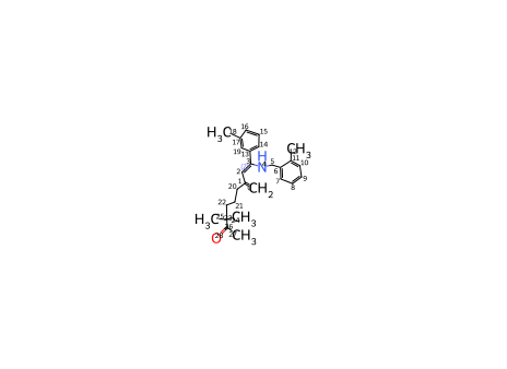 C=C(/C=C(\NCc1ccccc1C)c1cccc(C)c1)CCCC(C)(C)C(C)=O